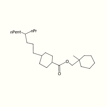 CCCCCC(CCC)CCCC1CCC(C(=O)OCC2(C)CCCCC2)CC1